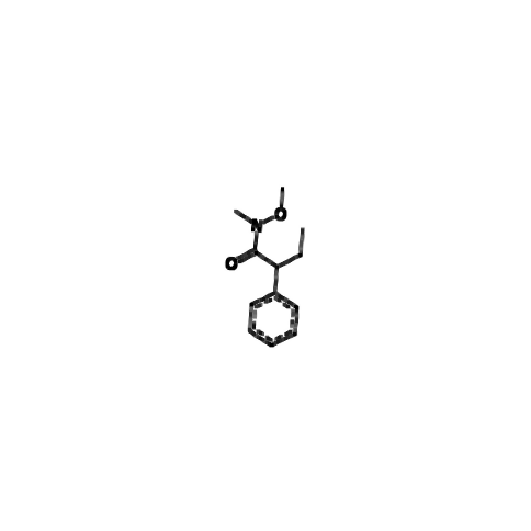 CCC(C(=O)N(C)OC)c1ccccc1